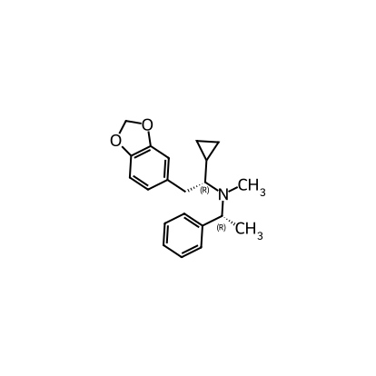 C[C@H](c1ccccc1)N(C)[C@H](Cc1ccc2c(c1)OCO2)C1CC1